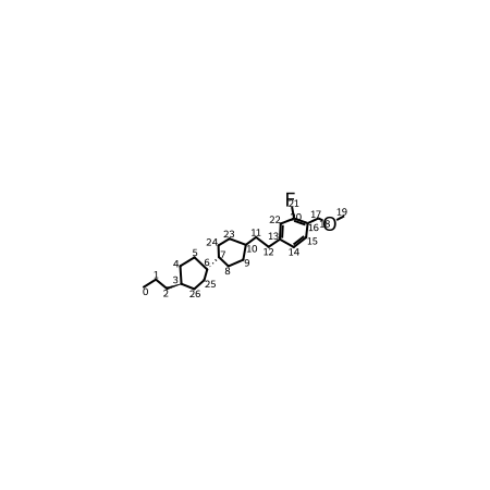 CCC[C@H]1CC[C@H](C2CCC(CCc3ccc(COC)c(F)c3)CC2)CC1